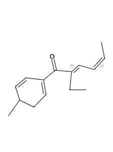 C/C=C\C=C(/CC)C(=O)C1=CCC(C)C=C1